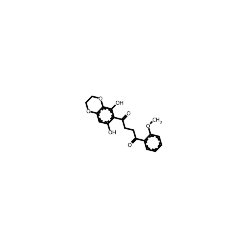 COc1ccccc1C(=O)CCC(=O)c1c(O)cc2c(c1O)OCCO2